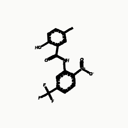 Cc1ccc(O)c(C(=O)Nc2cc(C(F)(F)F)ccc2[N+](=O)[O-])c1